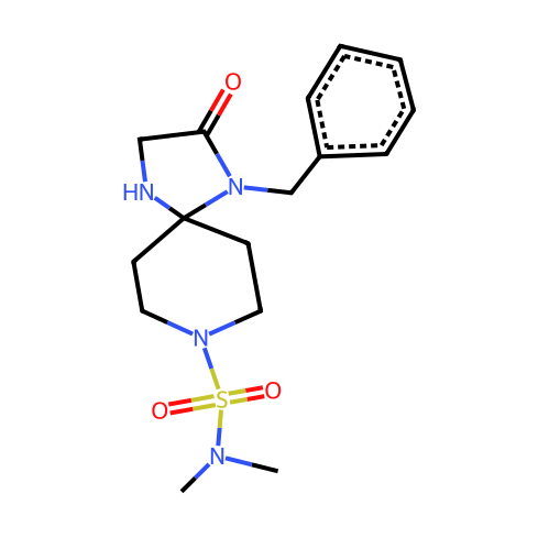 CN(C)S(=O)(=O)N1CCC2(CC1)NCC(=O)N2Cc1ccccc1